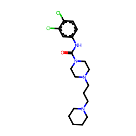 O=C(Nc1ccc(Cl)c(Cl)c1)N1CCN(CCCN2CCCCC2)CC1